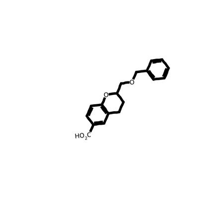 O=C(O)c1ccc2c(c1)CCC(COCc1ccccc1)O2